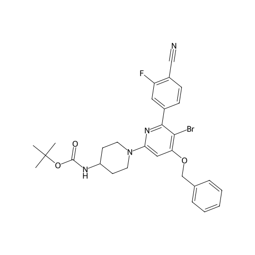 CC(C)(C)OC(=O)NC1CCN(c2cc(OCc3ccccc3)c(Br)c(-c3ccc(C#N)c(F)c3)n2)CC1